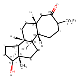 CCOC(=O)C1CC[C@H]2[C@H](CC[C@@H]3[C@@H]2CC[C@]2(C)[C@@H](O)CC[C@@H]32)CC1=O